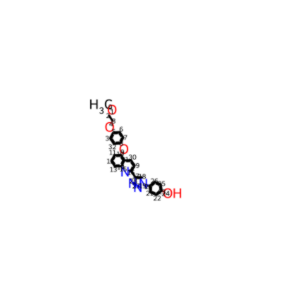 COCCOc1ccc(Oc2cccc3nc(-c4cn(-c5ccc(O)cc5)nn4)ccc23)cc1